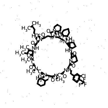 CC[C@H](C)[C@@H]1NC(=O)[C@H](COCCC(C)C)N(C)C(=O)C[C@@H](C(=O)N2CCCCC2)N(C)C(=O)[C@H](C2CCCCC2)N(C)C(=O)C2(CCCC2)NC(=O)[C@@H]2CCCN2C(=O)[C@H](CCc2ccc(C(F)(F)F)c(Cl)c2)NC(=O)CN(C)C(=O)[C@H](CC2CCCCC2)N(C)C(=O)CN(C)C(=O)CN(C)C1=O